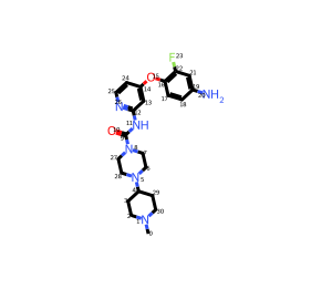 CN1CCC(N2CCN(C(=O)Nc3cc(Oc4ccc(N)cc4F)ccn3)CC2)CC1